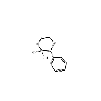 O[P]1(Cl)OCCCN1c1ccccc1